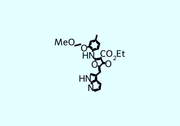 CCOC(=O)C1=C(Nc2ccc(C)cc2OCCOC)O/C(=C\c2c[nH]c3ncccc23)C1=O